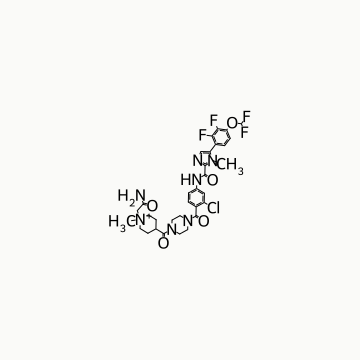 Cn1c(-c2ccc(OC(F)F)c(F)c2F)cnc1C(=O)Nc1ccc(C(=O)N2CCN(C(=O)C3CC[N+](C)(CC(N)=O)CC3)CC2)c(Cl)c1